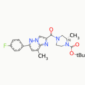 Cc1cc(-c2ccc(F)cc2)nn2cc(C(=O)N3CCN(C(=O)OC(C)(C)C)[C@@H](C)C3)nc12